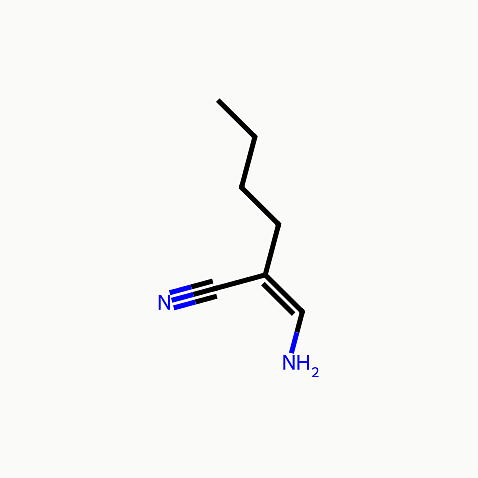 CCCC/C(C#N)=C/N